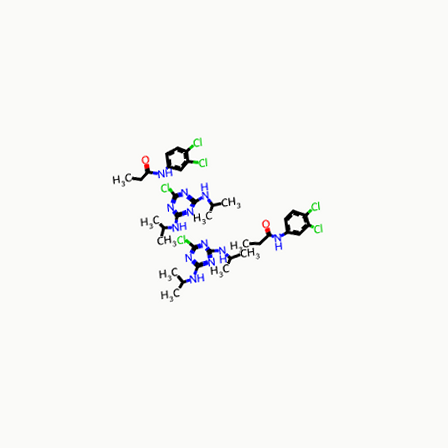 CC(C)Nc1nc(Cl)nc(NC(C)C)n1.CC(C)Nc1nc(Cl)nc(NC(C)C)n1.CCC(=O)Nc1ccc(Cl)c(Cl)c1.CCC(=O)Nc1ccc(Cl)c(Cl)c1